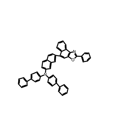 c1ccc(-c2ccc(N(c3ccc(-c4ccccc4)cc3)c3ccc4ccc(-c5cc6oc(-c7ccccc7)nc6c6ccccc56)cc4c3)cc2)cc1